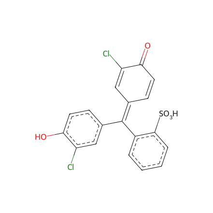 O=C1C=C/C(=C(/c2ccc(O)c(Cl)c2)c2ccccc2S(=O)(=O)O)C=C1Cl